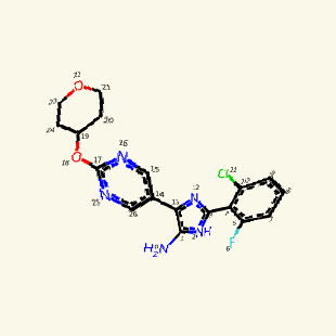 Nc1[nH]c(-c2c(F)cccc2Cl)nc1-c1cnc(OC2CCOCC2)nc1